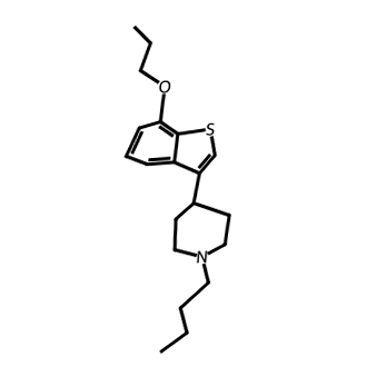 CCCCN1CCC(c2csc3c(OCCC)cccc23)CC1